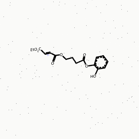 CCOC(=O)/C=C/C(=O)OCCCC(=O)Oc1ccccc1O